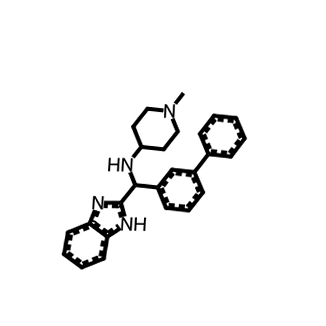 CN1CCC(NC(c2cccc(-c3ccccc3)c2)c2nc3ccccc3[nH]2)CC1